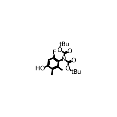 Cc1c(O)cc(F)c(N(C(=O)OC(C)(C)C)C(=O)OC(C)(C)C)c1C